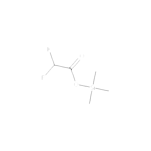 C[Si](C)(C)OC(=O)C(F)F